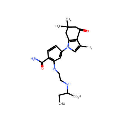 Cc1cn(-c2ccc(C(N)=O)c(NCCNC(CC=O)C(=O)O)c2)c2c1C(=O)CC(C)(C)C2